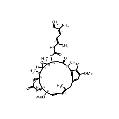 C=C/C(N)=C\C=C(/C)NC(=O)O[C@H]1CC(=O)N(C)c2cc(cc(OC)c2Cl)C/C(C)=C/C=C/[C@@H](OC)[C@@]2(O)C[C@H](OC(=O)N2)[C@@H](C)[C@@H]2O[C@@]12C